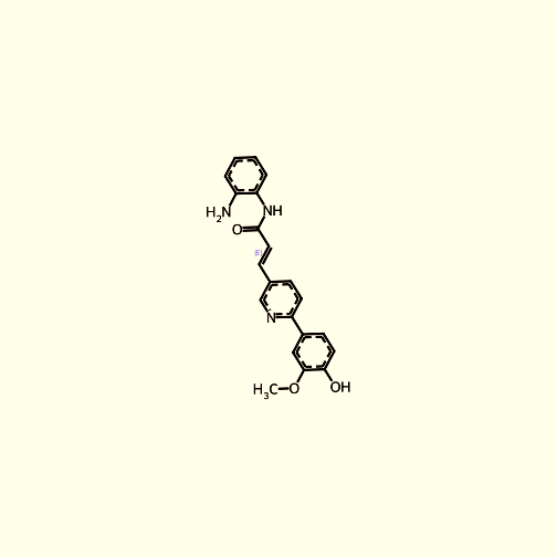 COc1cc(-c2ccc(/C=C/C(=O)Nc3ccccc3N)cn2)ccc1O